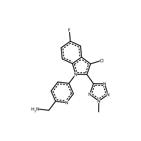 Cn1nnc(-c2c(Cl)c3cc(F)ccc3n2-c2ccc(CN)nc2)n1